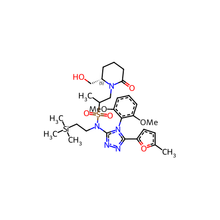 COc1cccc(OC)c1-n1c(-c2ccc(C)o2)nnc1N(CC[Si](C)(C)C)S(=O)(=O)C(C)CN1C(=O)CCC[C@H]1CO